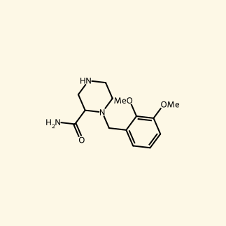 COc1cccc(CN2CCNCC2C(N)=O)c1OC